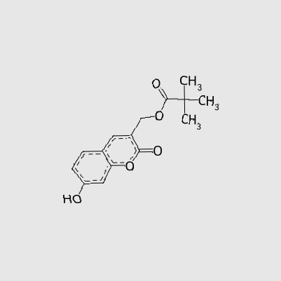 CC(C)(C)C(=O)OCc1cc2ccc(O)cc2oc1=O